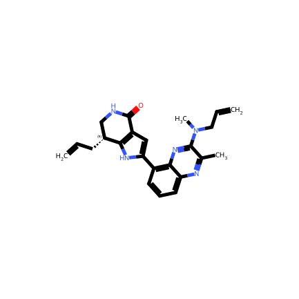 C=CC[C@@H]1CNC(=O)c2cc(-c3cccc4nc(C)c(N(C)CC=C)nc34)[nH]c21